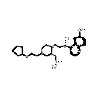 COc1ccc2nccc([C@@H](O)CC[C@@H]3CCN(CCSC4CCCC4)C[C@@H]3CC(=O)O)c2c1.Cl.Cl